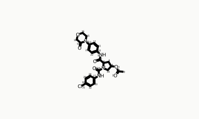 CC(=O)OC1CC(C(=O)Nc2ccc(N3CCOCC3=O)cc2)N(C(=O)Nc2ccc(Cl)cc2)C1